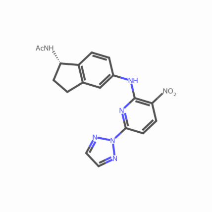 CC(=O)N[C@H]1CCc2cc(Nc3nc(-n4nccn4)ccc3[N+](=O)[O-])ccc21